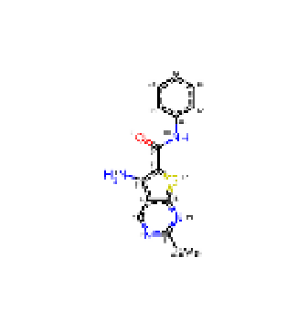 CSc1ncc2c(N)c(C(=O)Nc3ccccc3)sc2n1